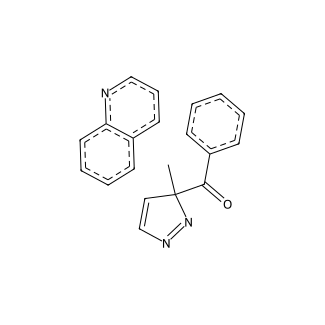 CC1(C(=O)c2ccccc2)C=CN=N1.c1ccc2ncccc2c1